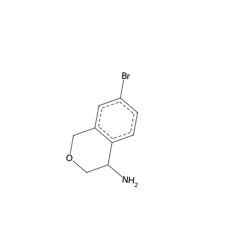 NC1COCc2cc(Br)ccc21